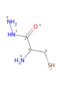 NNC(=O)C(N)CS